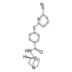 N#Cc1cccc(Sc2ccc(C(=O)N[C@H]3CN4CCC3CC4)cc2)n1